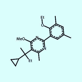 [CH2]CC(C)(c1c(C)nc(-c2cc(C)cc(C)c2OCC)nc1OC)C1CC1